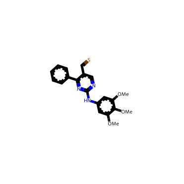 COc1cc(Nc2ncc(C=S)c(-c3ccccc3)n2)cc(OC)c1OC